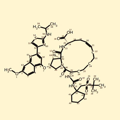 COc1ccc2c(O[C@@H]3C[C@H]4C(=O)N[C@H](C(=O)O)CCC=CCCCCC[C@H](NC(=O)NC5(CS(=O)(=O)C(C)(C)C)CCCCC5)C(=O)N4C3)cc(-c3csc(NC(C)C)n3)nc2c1